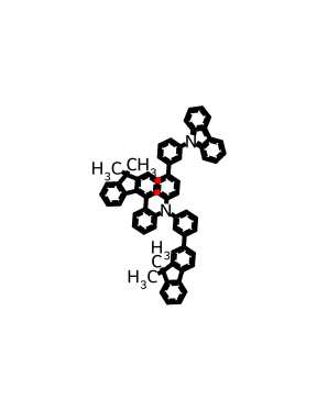 CC1(C)c2ccccc2-c2ccc(-c3cccc(N(c4ccc(-c5cccc(-n6c7ccccc7c7ccccc76)c5)cc4)c4ccccc4-c4cccc5c4-c4ccccc4C5(C)C)c3)cc21